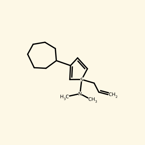 C=CCS1(N(C)C)C=CC(C2CCCCCC2)=C1